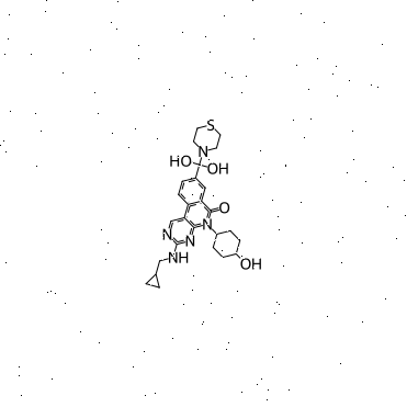 O=c1c2cc(C(O)(O)N3CCSCC3)ccc2c2cnc(NCC3CC3)nc2n1C1CCC(O)CC1